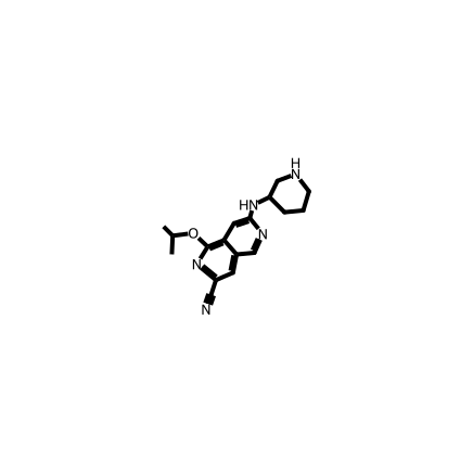 CC(C)Oc1nc(C#N)cc2cnc(NC3CCCNC3)cc12